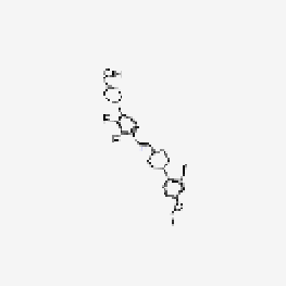 CCOc1ccc(C2CCC(/C=C/c3ccc(C4CCC(CO)CC4)c(F)c3F)CC2)c(F)c1